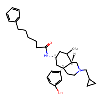 CC(=O)OC1C[C@@H](NC(=O)CCCCCc2ccccc2)C[C@]2(c3cccc(O)c3)CCN(CC3CC3)C[C@@H]12